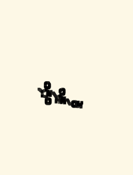 CC1CC(=O)N(CCC(=O)NCCO)C1=O